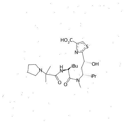 CC[C@H](C)[C@H](NC(=O)C(C)(C)N1CCCC1)C(=O)N(C)[C@H](C[C@@H](O)c1nc(C(=O)O)cs1)C(C)C